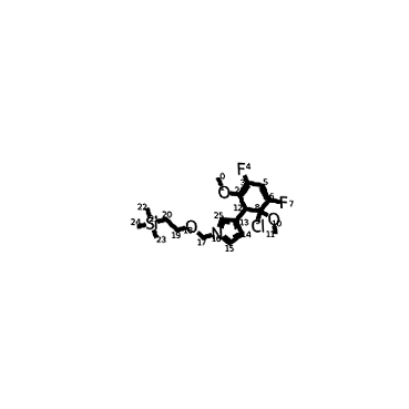 COC1=C(F)C=C(F)C(Cl)(OC)C1c1ccn(COCC[Si](C)(C)C)c1